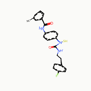 N#Cc1cccc(C(=O)Nc2ccc(N(S)C(=O)NCCc3ccc(F)cc3)cc2)c1